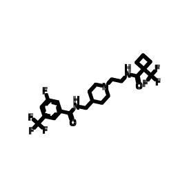 O=C(NCC1CCN(CCNC(=O)C2(C(F)(F)F)CCC2)CC1)c1cc(F)cc(C(F)(F)F)c1